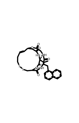 CC(C)[C@H]1NC(=O)CC2/C=C/CCSSCC(NC1=O)C(=O)NC(Cc1cccc3ccccc13)C(=O)NCC(=O)O2